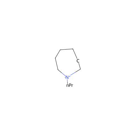 CCC[N+]1CCCCCC1